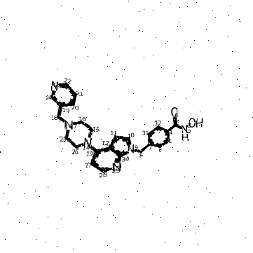 O=C(NO)c1ccc(Cn2ccc3c(N4CCN(Cc5cccnc5)CC4)ccnc32)cc1